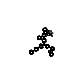 CC1(C)c2ccccc2-c2cc3c4ccccc4c4cc(N(c5ccc(-c6ccc(-c7ccccc7)cc6)cc5)c5ccc(-c6cccc7c6oc6ccccc67)cc5)ccc4c3cc21